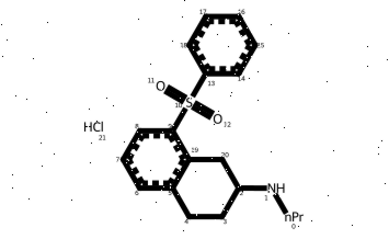 CCCNC1CCc2cccc(S(=O)(=O)c3ccccc3)c2C1.Cl